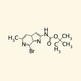 CC1=CC2C=C(NC(=O)OC(C)(C)C)N=C2C(Br)=N1